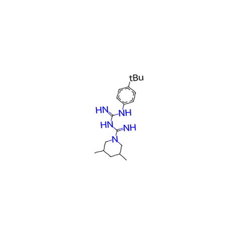 CC1CC(C)CN(C(=N)NC(=N)Nc2ccc(C(C)(C)C)cc2)C1